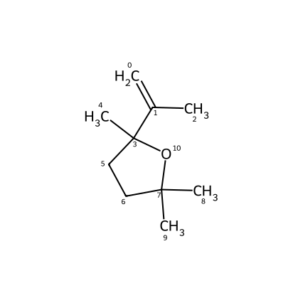 C=C(C)C1(C)CCC(C)(C)O1